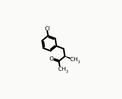 CC(=O)[C@H](C)Cc1cccc(Cl)c1